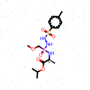 COCP(=O)(NNS(=O)(=O)c1ccc(C)cc1)N[C@@H](C)C(=O)OC(C)C